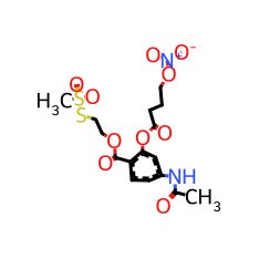 CC(=O)Nc1ccc(C(=O)OCCSS(C)(=O)=O)c(OC(=O)CCCO[N+](=O)[O-])c1